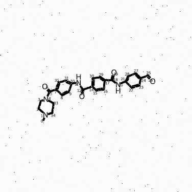 CN1CCN(C(=O)c2ccc(NC(=O)c3ccc(C(=O)Nc4ccc(C=O)cc4)cc3)cc2)CC1